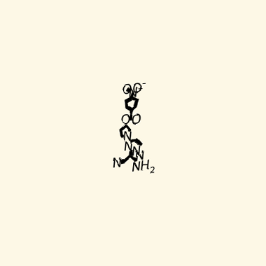 N#Cc1c(N)nn2ccc(N3CCC(OC(=O)c4ccc([N+](=O)[O-])cc4)C3)nc12